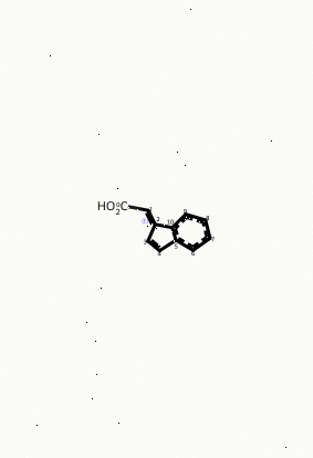 O=C(O)/C=C1\C=Cc2ccccc21